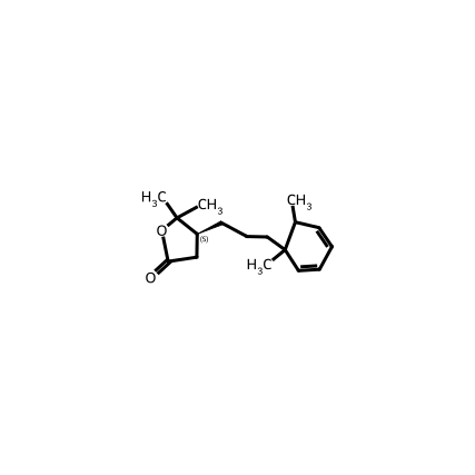 CC1C=CC=CC1(C)CCC[C@H]1CC(=O)OC1(C)C